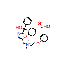 C[N+](C)(CCOc1ccccc1)Cc1cnc([C@](O)(c2ccccc2)C2CCCCC2)o1.O=C[O-]